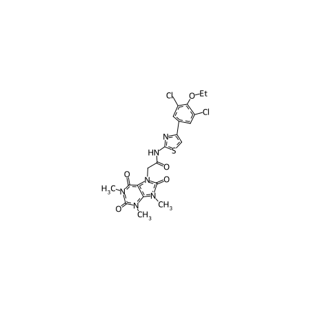 CCOc1c(Cl)cc(-c2csc(NC(=O)Cn3c(=O)n(C)c4c3c(=O)n(C)c(=O)n4C)n2)cc1Cl